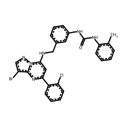 Cc1ccccc1NC(=O)Nc1cccc(CNc2cc(-c3ccccc3Cl)nc3c(Br)cnn23)c1